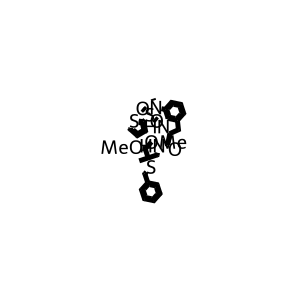 COC(OC)C(C)(CNC(=O)C1Cc2cccc(N(C)S(=O)(=O)c3cccs3)c2N1)SCc1ccccc1